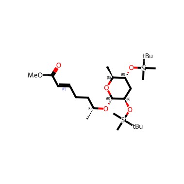 COC(=O)/C=C/CC[C@@H](C)O[C@@H]1O[C@@H](C)[C@H](O[Si](C)(C)C(C)(C)C)C[C@H]1O[Si](C)(C)C(C)(C)C